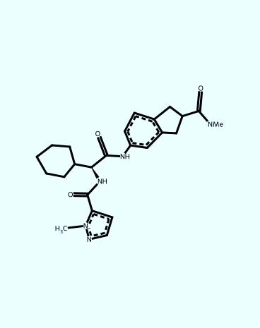 CNC(=O)C1Cc2ccc(NC(=O)[C@@H](NC(=O)c3ccnn3C)C3CCCCC3)cc2C1